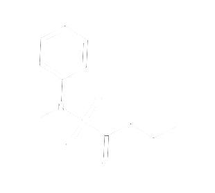 CCCC(=O)S(=O)(=O)N(C)c1ccccc1